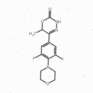 CC1OC(=O)NN=C1c1cc(F)c(N2CCOCC2)c(F)c1